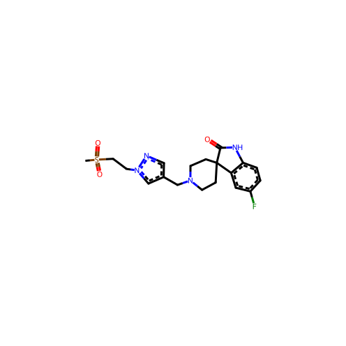 CS(=O)(=O)CCn1cc(CN2CCC3(CC2)C(=O)Nc2ccc(F)cc23)cn1